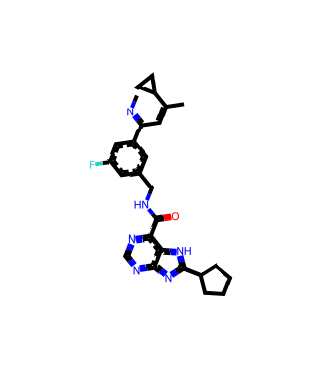 C/N=C(\C=C(\C)C1CC1)c1cc(F)cc(CNC(=O)c2ncnc3nc(C4CCCC4)[nH]c23)c1